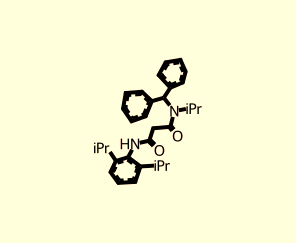 CC(C)c1cccc(C(C)C)c1NC(=O)CC(=O)N(C(C)C)C(c1ccccc1)c1ccccc1